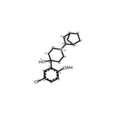 COc1ccc(Cl)cc1C1(O)CCN(C2CC3CCC2C3)CC1